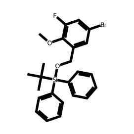 COc1c(F)cc(Br)cc1CO[Si](c1ccccc1)(c1ccccc1)C(C)(C)C